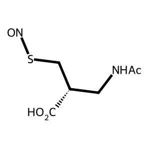 CC(=O)NC[C@@H](CSN=O)C(=O)O